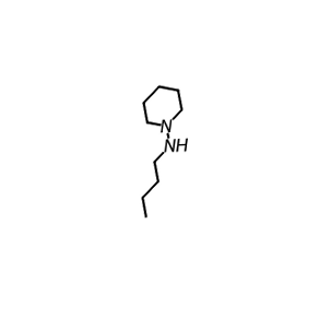 CCCCNN1CCCCC1